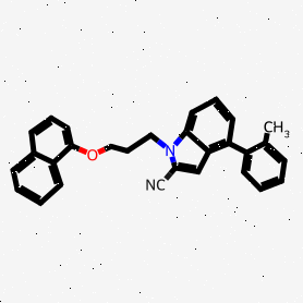 Cc1ccccc1-c1cccc2c1cc(C#N)n2CCCOc1cccc2ccccc12